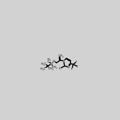 C=C(CO[Si](C)(C)C(C)(C)C)N1C=CC(C(F)(F)F)=NC1Cl